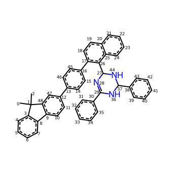 CC1(C)c2ccccc2-c2ccc(-c3ccc(-c4ccc5ccccc5c4C4N=C(c5ccccc5)NC(c5ccccc5)N4)cc3)cc21